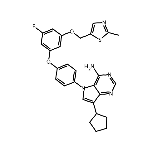 Cc1ncc(COc2cc(F)cc(Oc3ccc(-n4cc(C5CCCC5)c5ncnc(N)c54)cc3)c2)s1